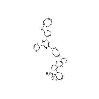 CC1(C)c2ccccc2-c2c1ccc1c2Oc2cccc(-c3ccc(-c4cc(-c5ccc6c(c5)oc5ccccc56)nc(-c5ccccc5)n4)cc3)c2O1